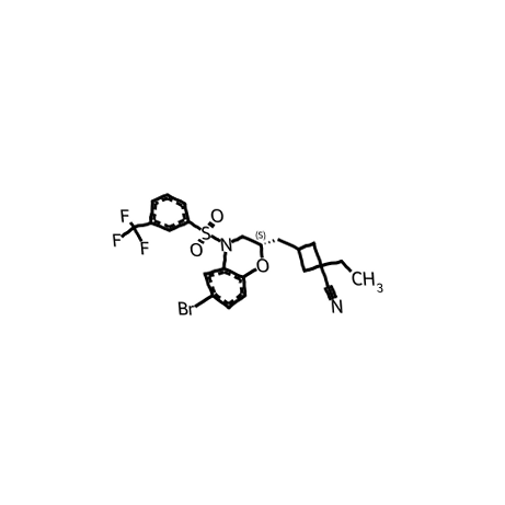 CCC1(C#N)CC(C[C@H]2CN(S(=O)(=O)c3cccc(C(F)(F)F)c3)c3cc(Br)ccc3O2)C1